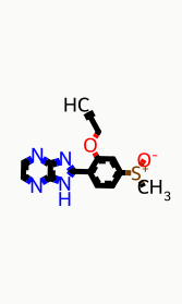 C#CCOc1cc([S+](C)[O-])ccc1-c1nc2nccnc2[nH]1